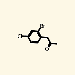 CC(=O)Cc1ccc(Cl)cc1Br